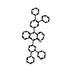 c1ccc(-c2ccc(-c3c4ccccc4c(-c4ccc(-c5ccccc5)c(-c5ccccc5)c4)c4ncccc34)cc2-c2ccccc2)cc1